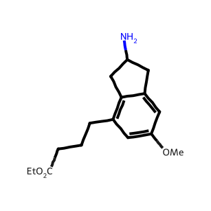 CCOC(=O)CCCc1cc(OC)cc2c1CC(N)C2